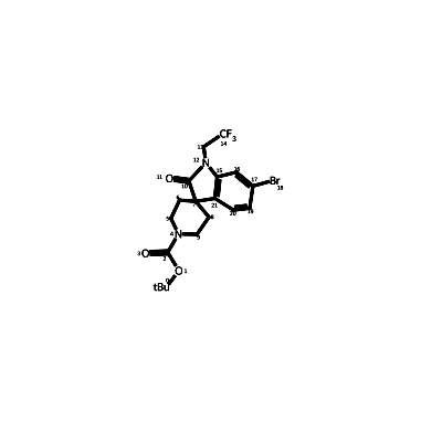 CC(C)(C)OC(=O)N1CCC2(CC1)C(=O)N(CC(F)(F)F)c1cc(Br)ccc12